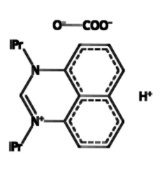 CC(C)N1C=[N+](C(C)C)c2cccc3cccc1c23.O=C([O-])[O-].[H+]